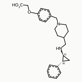 O=C(O)COc1ccc(CN2CCC(CN[C@H]3C[C@@H]3c3ccccc3)CC2)cc1